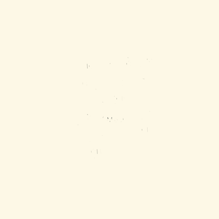 COc1cc(C2CC(=O)Oc3cc(O)c(C(=O)CCc4ccc(O)cc4)c(O)c32)ccc1O